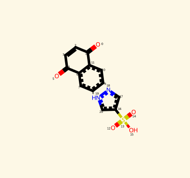 O=C1C=CC(=O)c2ccccc21.O=S(=O)(O)c1cn[nH]c1